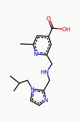 Cc1cc(C(=O)O)cc(CNCc2nccn2CC(C)C)n1